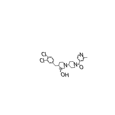 Cc1cc(C(=O)N2CCC(N3CCC(Cc4ccc(Cl)c(Cl)c4)[C@H](CO)C3)CC2)ccn1